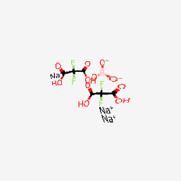 O=C(O)C(F)(F)C(=O)O.O=C(O)C(F)(F)C(=O)O.[Na+].[Na+].[Na+].[O-]B([O-])[O-]